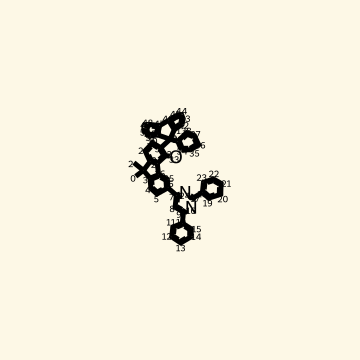 CC1(C)c2ccc(-c3cc(-c4ccccc4)nc(-c4ccccc4)n3)cc2-c2c1ccc1c2Oc2ccccc2C12c1ccccc1-c1ccccc12